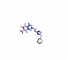 Cc1nc(NCc2cnn(C[C@H]3CCCCO3)c2)nc2c1NC(=O)[C@H](C(C)C)N2C